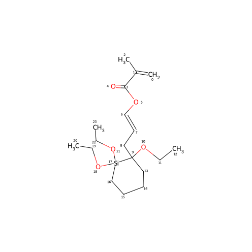 C=C(C)C(=O)OC=CCC1(OCC)CCCC[Si]1(OCC)OCC